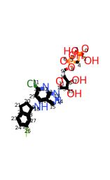 O=P(O)(O)CP(=O)(O)OC[C@H]1O[C@@H](n2ncc3c(N[C@@H]4CCc5ccc(F)cc54)cc(Cl)nc32)[C@H](O)[C@@H]1O